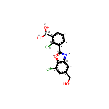 OCc1cc(Cl)c2oc(-c3cccc(B(O)O)c3Cl)nc2c1